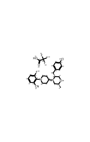 C[C@H]1CN(C2CCN(c3c(F)cccc3C#N)CC2)[C@@H](Cc2ccc(Cl)cc2)CO1.O=C(O)C(F)(F)F